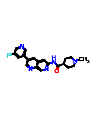 CN1CCC(C(=O)Nc2cc3cc(-c4cncc(F)c4)cnc3cn2)CC1